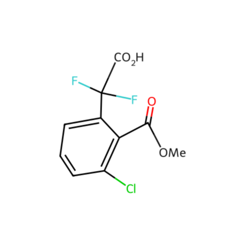 COC(=O)c1c(Cl)cccc1C(F)(F)C(=O)O